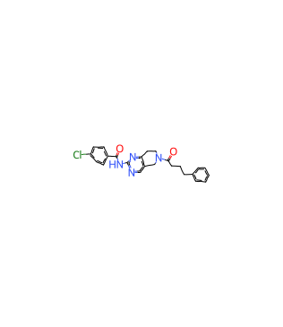 O=C(Nc1ncc2c(n1)CCN(C(=O)CCCc1ccccc1)C2)c1ccc(Cl)cc1